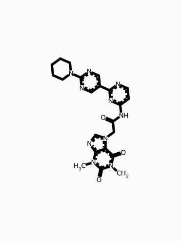 Cn1c(=O)c2c(ncn2CC(=O)Nc2ccnc(-c3cnc(N4CCCCC4)nc3)n2)n(C)c1=O